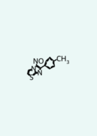 Cc1ccc(-c2nc3sccn3c2N=O)cc1